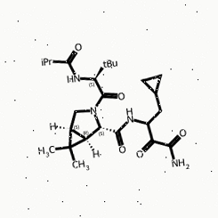 CC(C)C(=O)N[C@H](C(=O)N1C[C@H]2[C@@H]([C@H]1C(=O)NC(CC1CC1)C(=O)C(N)=O)C2(C)C)C(C)(C)C